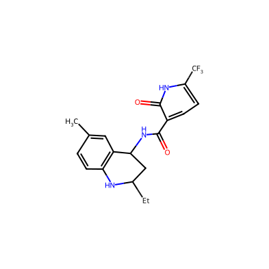 CCC1CC(NC(=O)c2ccc(C(F)(F)F)[nH]c2=O)c2cc(C)ccc2N1